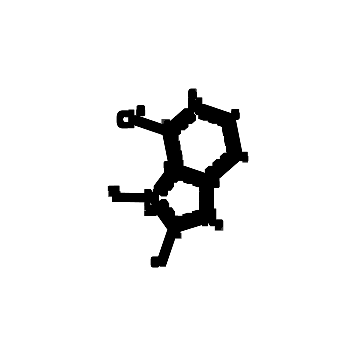 Cc1nc2ccnc(Cl)c2n1C